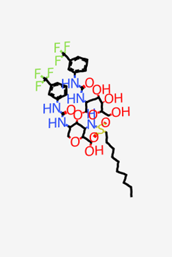 CCCCCCCCCCS(=O)(=O)N[C@H]1C(CO)OCC(NC(=O)Nc2cccc(C(F)(F)F)c2)C1O[C@@H]1OC(CO)[C@@H](O)C(O)C1NC(=O)Nc1cccc(C(F)(F)F)c1